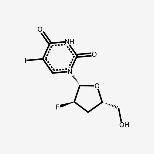 O=c1[nH]c(=O)n([C@@H]2O[C@H](CO)C[C@H]2F)cc1I